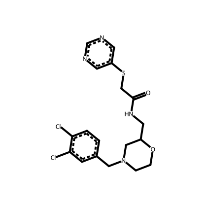 O=C(CSc1cncnc1)NCC1CN(Cc2ccc(Cl)c(Cl)c2)CCO1